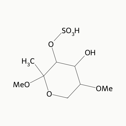 COC1COC(C)(OC)C(OS(=O)(=O)O)C1O